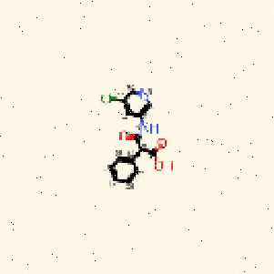 O=C(O)C(C(=O)Nc1cncc(Cl)c1)c1ccccc1